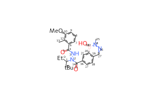 CCC(N(NC(=O)c1cccc(OC)c1C)C(=O)c1ccc2c(c1)B(O)N(C)N=C2)C(C)(C)C